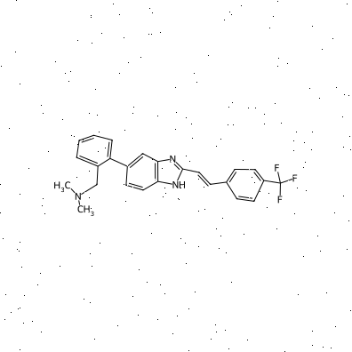 CN(C)Cc1ccccc1-c1ccc2[nH]c(/C=C/c3ccc(C(F)(F)F)cc3)nc2c1